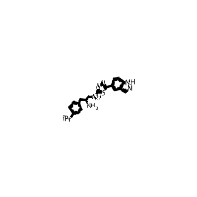 CC(C)c1ccc(CC(N)CNc2nnc(-c3ccc4[nH]ncc4c3)s2)cc1